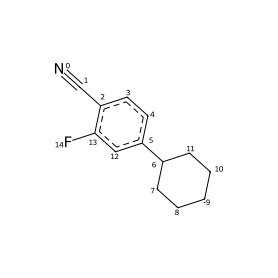 N#Cc1ccc(C2CC[CH]CC2)cc1F